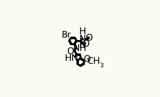 COc1cccc2[nH]c(C(=O)Nc3ccc(Br)cc3-c3noc(=O)[nH]3)cc12